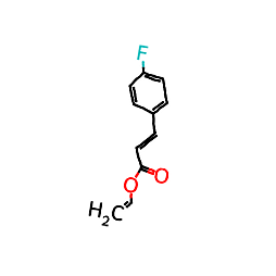 C=COC(=O)C=Cc1ccc(F)cc1